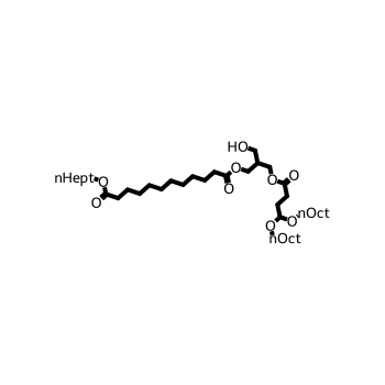 CCCCCCCCOC(CCC(=O)OCC(CO)COC(=O)CCCCCCCCCCC(=O)OCCCCCCC)OCCCCCCCC